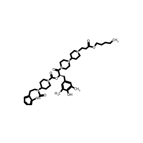 CCCCCOC(=O)CCN1CCC(N2CCN(C(=O)[C@@H](Cc3cc(C)c(O)c(C)c3)OC(=O)N3CCC(N4CCc5ccccc5NC4=O)CC3)CC2)CC1